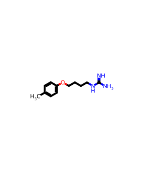 Cc1ccc(OCCCCNC(=N)N)cc1